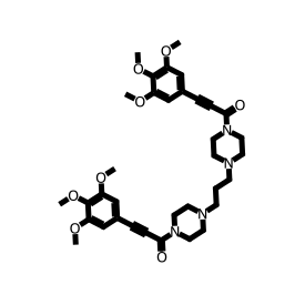 COc1cc(C#CC(=O)N2CCN(CCCN3CCN(C(=O)C#Cc4cc(OC)c(OC)c(OC)c4)CC3)CC2)cc(OC)c1OC